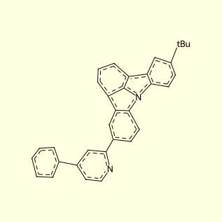 CC(C)(C)c1ccc2c(c1)c1cccc3c4cc(-c5cc(-c6ccccc6)ccn5)ccc4n2c31